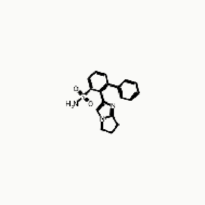 NS(=O)(=O)c1cccc(-c2ccccc2)c1-c1cn2c(n1)CCC2